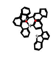 c1cc(-c2cccc3c2sc2ccccc23)cc(N(c2ccccc2-c2ccc3ccccc3c2)c2ccccc2-c2cccc3c2oc2ccccc23)c1